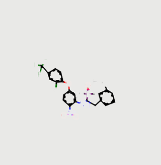 Cc1cccc(CC(Nc2cc(Oc3ccc(C(F)(F)F)cc3Cl)ccc2[N+](=O)[O-])P(C)(C)=O)c1